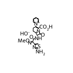 CO/N=C(\C(=O)N[C@H]1C(=O)N2C(C(=O)O)=C([n+]3ccccc3)CCC12)c1csc(N)n1.[OH-]